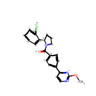 COc1nccc(-c2ccc(C(=O)N3CCC[C@@H]3c3ccccc3Cl)cc2)n1